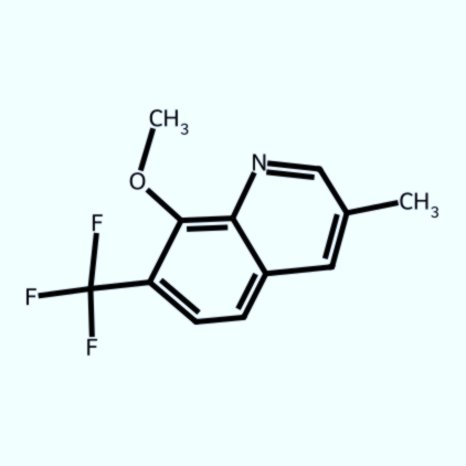 COc1c(C(F)(F)F)ccc2cc(C)cnc12